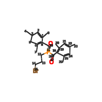 CC1=CC(C)CC(C)=C1C(=O)P(CCCBr)C(=O)c1c(C)cc(C)cc1C